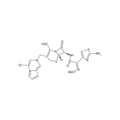 CCc1cn(CC2=C(C(=O)[O-])N3C(=O)[C@@H](NC(=O)/C(=N\OC)c4csc(N)n4)[C@@H]3SC2)cc2ccc[n+]1-2